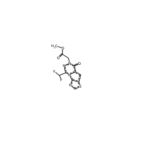 COC(=O)Cn1nc(C(F)F)n2c(cc3scnc32)c1=O